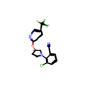 N#Cc1cccc(Cl)c1N1CC[C@@H](Oc2ccc(C(F)(F)F)cn2)C1